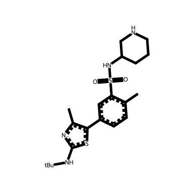 Cc1ccc(-c2sc(NC(C)(C)C)nc2C)cc1S(=O)(=O)NC1CCCNC1